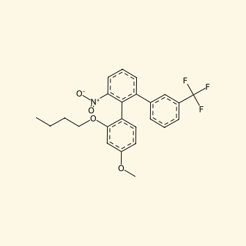 CCCCOc1cc(OC)ccc1-c1c(-c2cccc(C(F)(F)F)c2)cccc1[N+](=O)[O-]